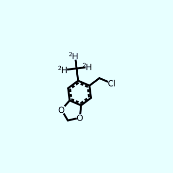 [2H]C([2H])([2H])c1cc2c(cc1CCl)OCO2